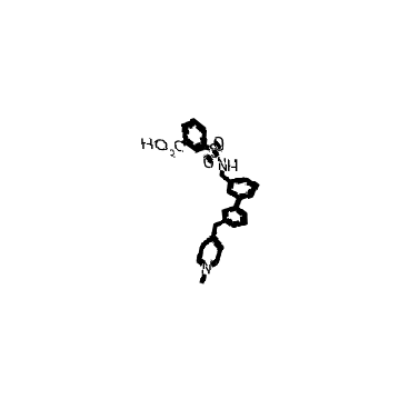 CN1CCC(Cc2cccc(-c3cccc(CNS(=O)(=O)c4cccc(C(=O)O)c4)c3)c2)CC1